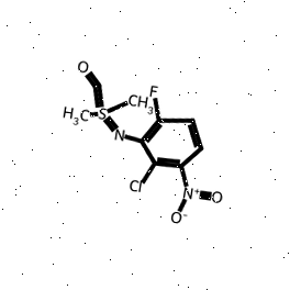 CS(C)(=C=O)=Nc1c(F)ccc([N+](=O)[O-])c1Cl